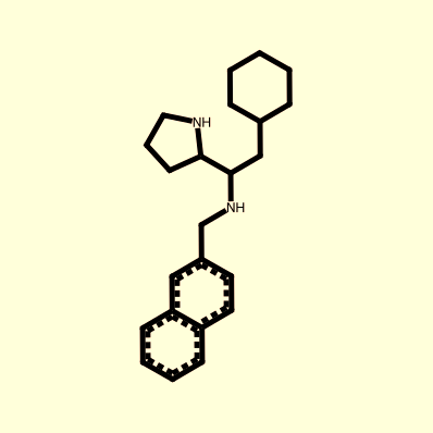 c1ccc2cc(CNC(CC3CCCCC3)C3CCCN3)ccc2c1